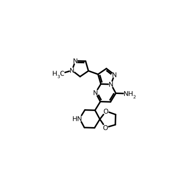 CN1CC(c2cnn3c(N)cc(C4CNCCC45OCCO5)nc23)C=N1